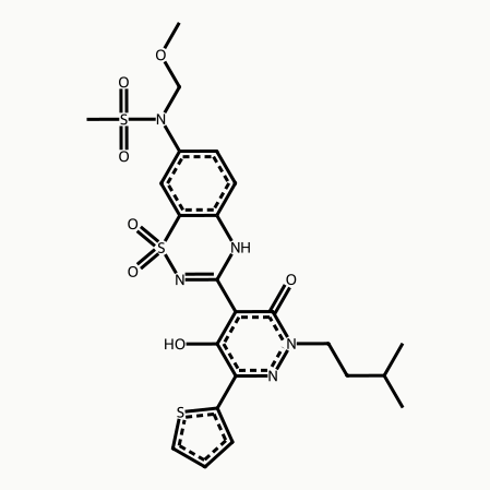 COCN(c1ccc2c(c1)S(=O)(=O)N=C(c1c(O)c(-c3cccs3)nn(CCC(C)C)c1=O)N2)S(C)(=O)=O